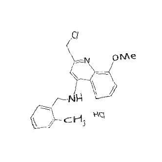 COc1cccc2c(NCc3ccccc3C)cc(CCl)nc12.Cl